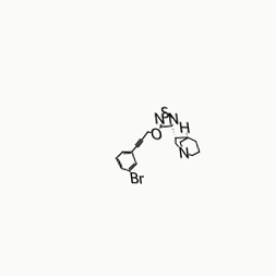 Brc1cccc(C#CCOc2nsnc2[C@H]2CN3CCC[C@H]2C3)c1